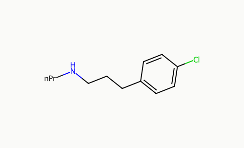 CCCNCCCc1ccc(Cl)cc1